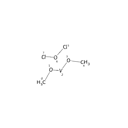 C[O][V][O]C.ClOCl